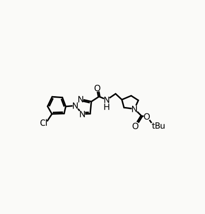 CC(C)(C)OC(=O)N1CCC(CNC(=O)c2cnn(-c3cccc(Cl)c3)n2)C1